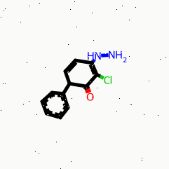 NNC1=C(Cl)C(=O)C(c2ccccc2)C=C1